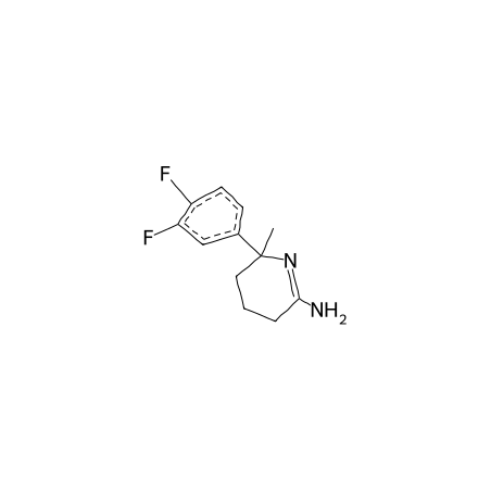 CC1(c2ccc(F)c(F)c2)CCCC(N)=N1